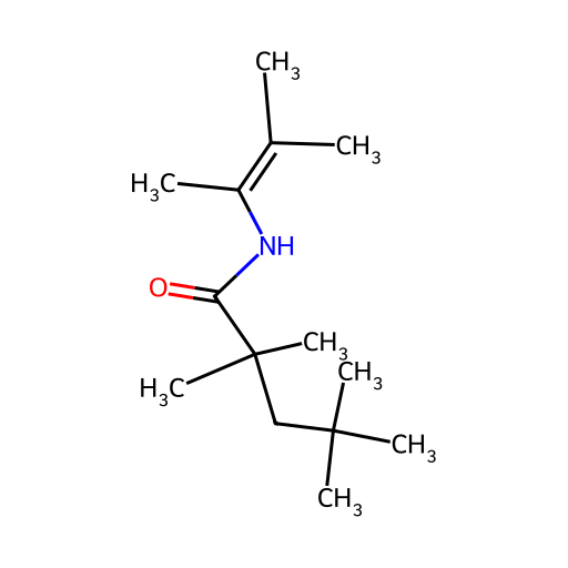 CC(C)=C(C)NC(=O)C(C)(C)CC(C)(C)C